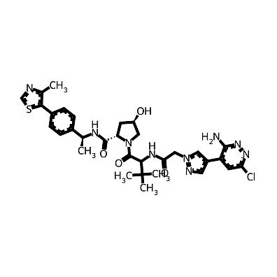 Cc1ncsc1-c1ccc([C@H](C)NC(=O)[C@@H]2C[C@@H](O)CN2C(=O)C(NC(=O)Cn2cc(-c3cc(Cl)nnc3N)cn2)C(C)(C)C)cc1